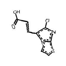 O=C(O)/C=C/c1c(Cl)nc2sccn12